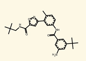 Cc1ccc(NC(=O)c2cc(N)cc(C(C)(C)C)c2)cc1-c1cc(C(=O)NCC(C)(C)C)on1